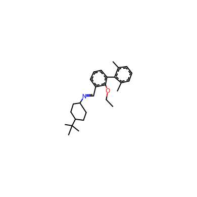 CCOc1c(/C=N/C2CCC(C(C)(C)C)CC2)cccc1-c1c(C)cccc1C